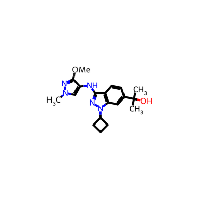 COc1nn(C)cc1Nc1nn(C2CCC2)c2cc(C(C)(C)O)ccc12